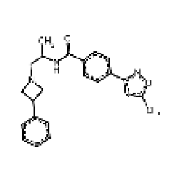 CC(CN1CC(c2ccccc2)C1)NC(=O)c1ccc(-c2noc(C(F)(F)F)n2)cc1